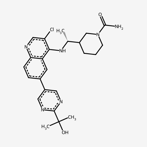 C[C@@H](Nc1c(Cl)cnc2ccc(-c3cnc(C(C)(C)O)nc3)cc12)C1CCCN(C(N)=O)C1